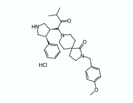 COc1ccc(CN2CCC3(CCN(C(C(=O)C(C)C)[C@@H]4CNC[C@@H]4c4ccccc4)CC3)C2=O)cc1.Cl